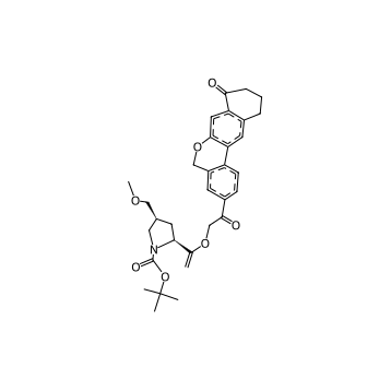 C=C(OCC(=O)c1ccc2c(c1)COc1cc3c(cc1-2)CCCC3=O)[C@@H]1C[C@H](COC)CN1C(=O)OC(C)(C)C